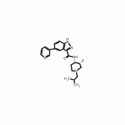 CC(C)CN1CC[C@H](NC(=O)c2n[nH]c3ccc(-c4cccnc4)cc23)[C@H](F)C1